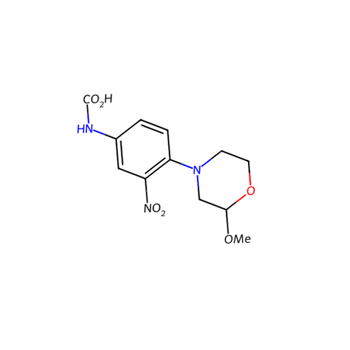 COC1CN(c2ccc(NC(=O)O)cc2[N+](=O)[O-])CCO1